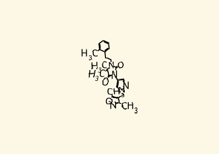 Cc1ccccc1CCN1C(=O)N(c2cnn(Cc3c(C)noc3C)c2)C(=O)C1(C)C